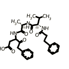 CC(C)[C@H](NC(=O)CCc1ccccc1)C(=O)N[C@@H](C)C(=O)NC(CC(=O)O)C(=O)Cc1ccccc1